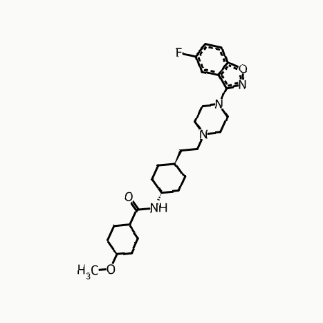 COC1CCC(C(=O)N[C@H]2CC[C@H](CCN3CCN(c4noc5ccc(F)cc45)CC3)CC2)CC1